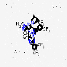 CC(=O)C1(CNCc2cc(C(F)(F)F)cc(C(F)(F)F)c2)CN=C(N(Cc2cc(C(F)(F)F)cc(C(F)(F)F)c2)Cc2cc3c(C)nn(C)c3nc2N(CC2CC2)CC2CC2)[N+](CC2CC2)(CC2CC2)C1